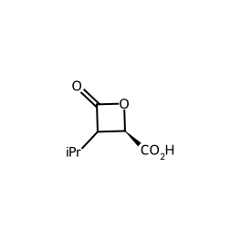 CC(C)C1C(=O)O[C@H]1C(=O)O